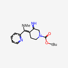 CN/C(=C1/CCN(C(=O)OC(C)(C)C)CC1=N)c1ccccn1